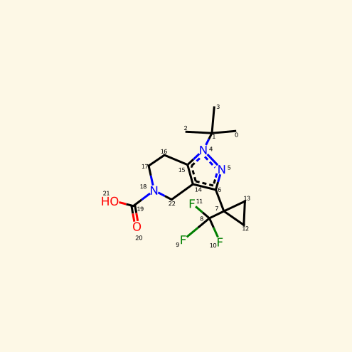 CC(C)(C)n1nc(C2(C(F)(F)F)CC2)c2c1CCN(C(=O)O)C2